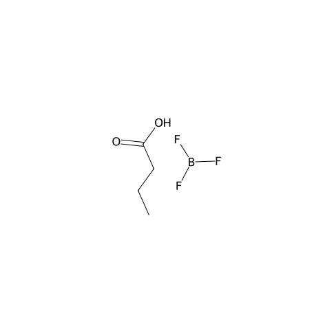 CCCC(=O)O.FB(F)F